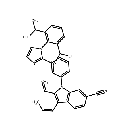 C=Cc1c(/C=C\C)c2ccc(C#N)cc2n1-c1cccc(-c2nccn2-c2c(C(C)C)cccc2C(C)C)c1